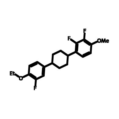 CCOc1ccc(C2CCC(c3ccc(OC)c(F)c3F)CC2)cc1F